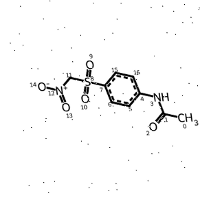 CC(=O)Nc1ccc(S(=O)(=O)C[N+](=O)[O-])cc1